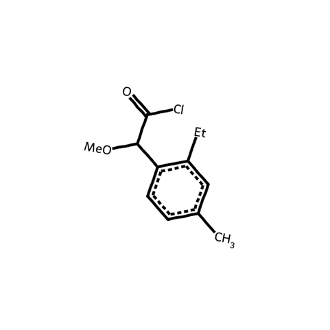 CCc1cc(C)ccc1C(OC)C(=O)Cl